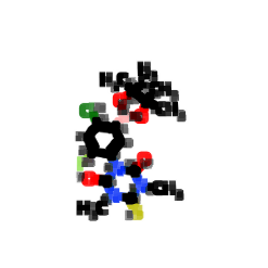 Cn1c(=S)n(C)c(=O)n(-c2cc(B3OC(C)(C)C(C)(C)O3)c(Cl)cc2F)c1=O